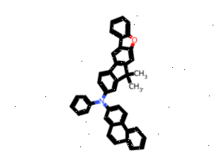 CC1(C)c2cc(N(c3ccccc3)c3ccc4c(ccc5ccccc54)c3)ccc2-c2cc3c(cc21)oc1ccccc13